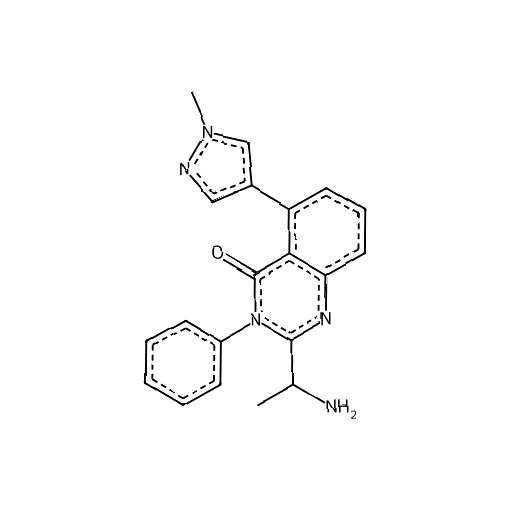 CC(N)c1nc2cccc(-c3cnn(C)c3)c2c(=O)n1-c1ccccc1